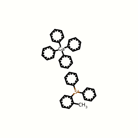 Cc1ccccc1[S+](c1ccccc1)c1ccccc1.c1cc[c]([Ga-]([c]2ccccc2)([c]2ccccc2)[c]2ccccc2)cc1